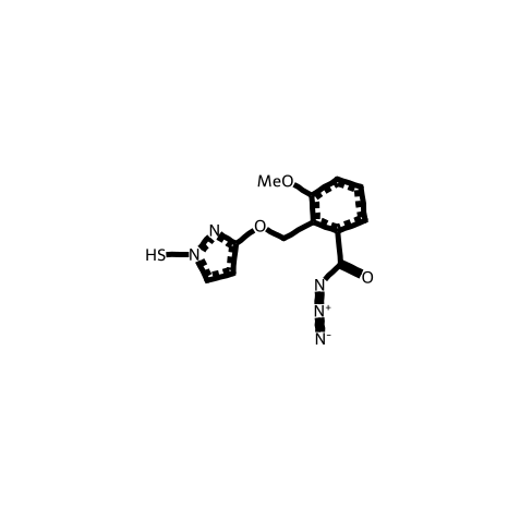 COc1cccc(C(=O)N=[N+]=[N-])c1COc1ccn(S)n1